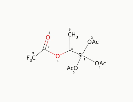 CC(=O)O[Si](OC(C)=O)(OC(C)=O)C(C)OC(=O)C(F)(F)F